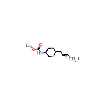 CC(C)(C)OC(=O)NC1CCC(C/C=C/C(=O)O)CC1